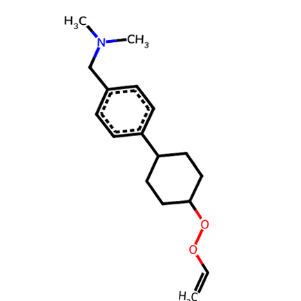 C=COOC1CCC(c2ccc(CN(C)C)cc2)CC1